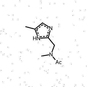 [CH2]C(=O)N(C)Cc1ncc(C)[nH]1